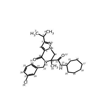 CC(C)c1cc2n(n1)CC(C)(C(=O)NC1CCCCCC1)N(Cc1cccc(Cl)c1)C2=O